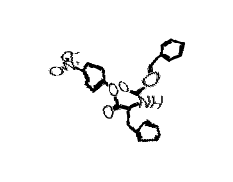 O=C(NC(Cc1ccccc1)C(=O)Oc1ccc([N+](=O)[O-])cc1)OCc1ccccc1